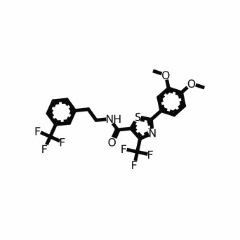 COc1ccc(-c2nc(C(F)(F)F)c(C(=O)NCCc3cccc(C(F)(F)F)c3)s2)cc1OC